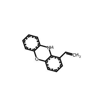 C=Cc1cccc2c1Nc1ccccc1O2